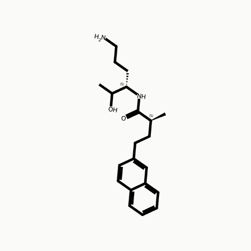 CC(O)[C@H](CCCN)NC(=O)[C@@H](C)CCc1ccc2ccccc2c1